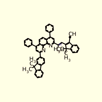 C#CC1=C(/C=C(\C)c2cc(-c3ccccc3)c3ccc4c(-c5ccccc5)cc(-c5ccc6c(c5)C(C)(C)c5ccccc5-6)nc4c3n2)C(C)(C)c2ccccc21